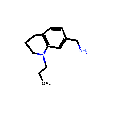 CC(=O)OCCN1CCCc2ccc(CN)cc21